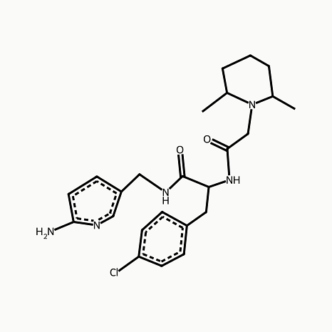 CC1CCCC(C)N1CC(=O)NC(Cc1ccc(Cl)cc1)C(=O)NCc1ccc(N)nc1